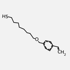 C=Cc1ccc(COCCCCCCCCS)cc1